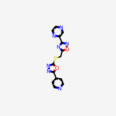 c1cc(-c2nnc(SCc3nc(-c4cnccn4)no3)o2)ccn1